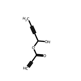 C#CC(=O)OC(O)C#CC